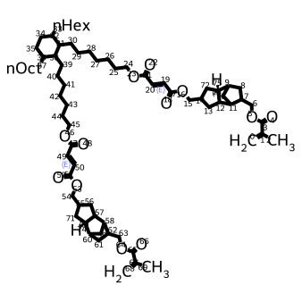 C=C(C)C(=O)OCC1CC2CC1C1CC(COC(=O)/C=C/C(=O)OCCCCCCCC3C(CCCCCC)CCC(CCCCCCCC)C3CCCCCCCOC(=O)/C=C/C(=O)OCC3CC4C5CC(CC5COC(=O)C(=C)C)[C@@H]4C3)C[C@H]21